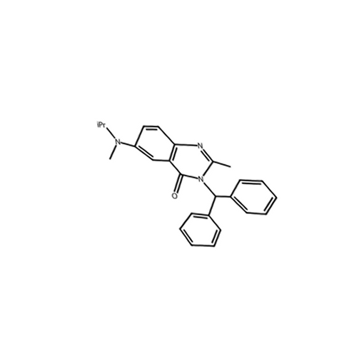 Cc1nc2ccc(N(C)C(C)C)cc2c(=O)n1C(c1ccccc1)c1ccccc1